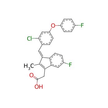 CC1=C(CC(=O)O)c2cc(F)ccc2/C1=C\c1ccc(Oc2ccc(F)cc2)cc1Cl